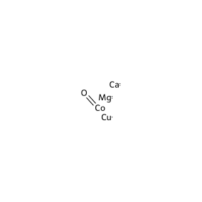 [Ca].[Cu].[Mg].[O]=[Co]